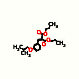 CCCOC(=O)C(=Cc1cccc(OCC(C)C)c1)C(=O)OCCC